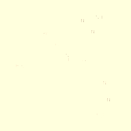 CC=CC=CC(=O)Nc1cc2c(-c3cccc(Br)c3)nc(N)nc2cc1OCCCN1CCN(CC(=O)OCC)CC1